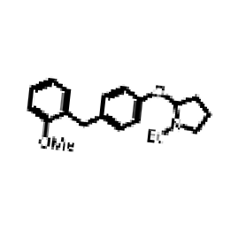 CCN1CCCC1Oc1ccc(Cc2ccccc2OC)cc1